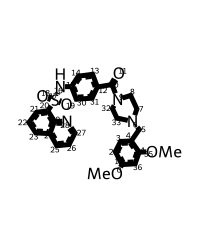 COc1ccc(CN2CCN(C(=O)c3ccc(NS(=O)(=O)c4cccc5cccnc45)cc3)CC2)c(OC)c1